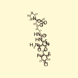 CS(=O)(=O)OC(CCNC(=O)Nc1snc(OCc2c(F)cc(Cl)cc2F)c1C(N)=O)CCN1CCCC1